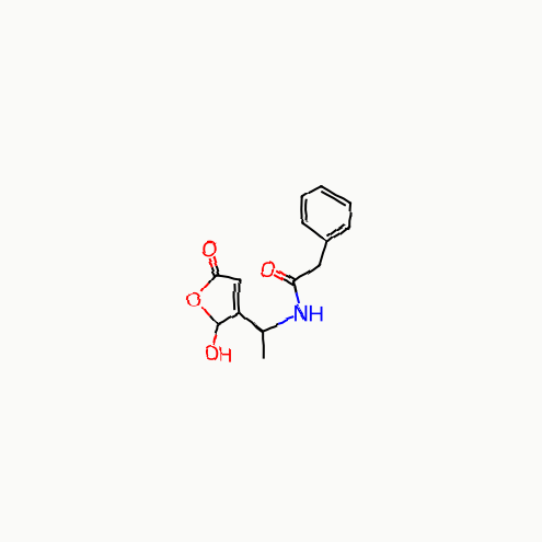 CC(NC(=O)Cc1ccccc1)C1=CC(=O)OC1O